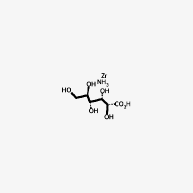 N.O=C(O)[C@H](O)[C@@H](O)[C@H](O)[C@H](O)CO.[Zr]